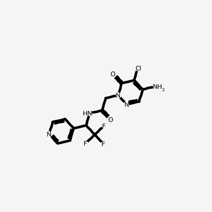 Nc1cnn(CC(=O)NC(c2ccncc2)C(F)(F)F)c(=O)c1Cl